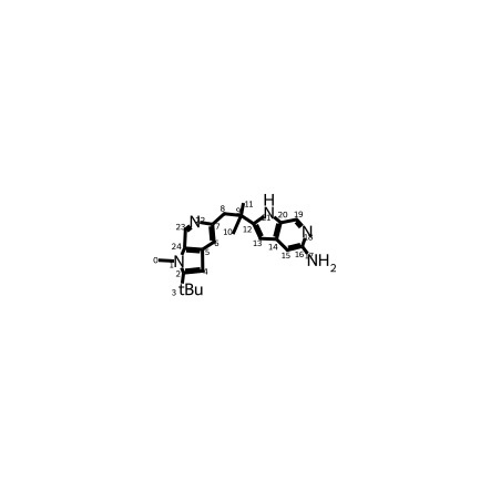 Cn1c(C(C)(C)C)cc2cc(CC(C)(C)c3cc4cc(N)ncc4[nH]3)ncc21